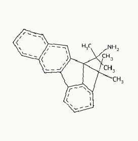 CC(C)(N)C12c3cc4ccccc4cc3-c3cccc(c31)C2(C)C